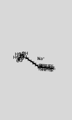 O=C([O-])[C@@H](O)[C@H]1O[C@@H](OC=CCCCCCCCCCC(F)(F)C(F)(F)C(F)(F)C(F)(F)C(F)(F)C(F)(F)C(F)(F)C(F)(F)F)[C@H](O)[C@H]1O.[Na+]